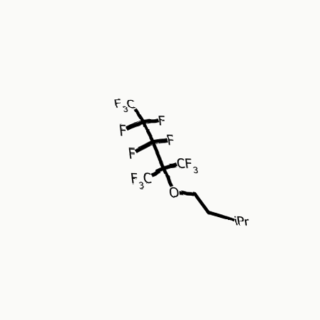 CC(C)CCOC(C(F)(F)F)(C(F)(F)F)C(F)(F)C(F)(F)C(F)(F)F